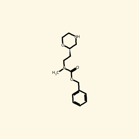 CN(CC[C@@H]1CNCCO1)C(=O)OCc1ccccc1